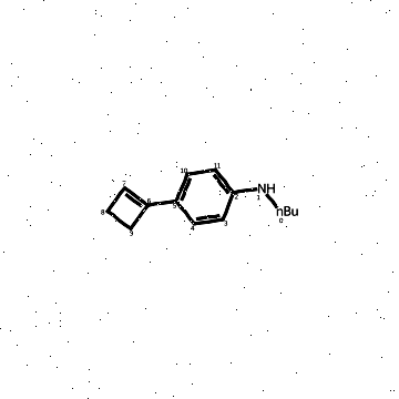 CCCCNc1ccc(C2=CCC2)cc1